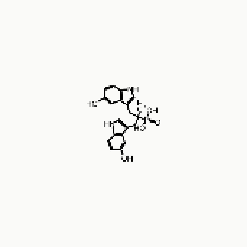 CC(Cc1c[nH]c2ccc(O)cc12)(Cc1c[nH]c2ccc(O)cc12)P(=O)(O)O